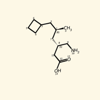 C[C@H](CC1CCC1)C[C@H](CN)CC(=O)O